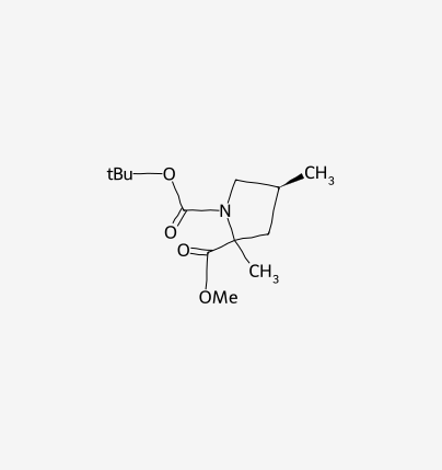 COC(=O)C1(C)C[C@H](C)CN1C(=O)OC(C)(C)C